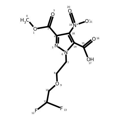 COC(=O)c1nn(CCOCC(F)F)c(C(=O)O)c1[N+](=O)[O-]